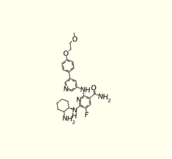 COCCOc1ccc(-c2cncc(Nc3nc(N[C@@H]4CCCCC4N)c(F)cc3C(N)=O)c2)cc1